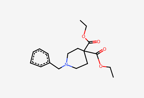 CCOC(=O)C1(C(=O)OCC)CCN(Cc2ccccc2)CC1